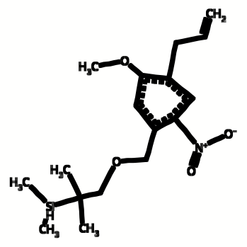 C=CCc1cc([N+](=O)[O-])c(COCC(C)(C)[SiH](C)C)cc1OC